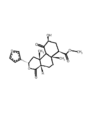 COC(=O)[C@@H]1C[C@H](O)C(=O)C2[C@@]3(C)C[C@@H](c4ccoc4)OC(=O)[C@H]3CC[C@]21C